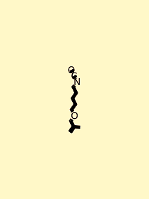 C=C(C)COCCCCCN=C=O